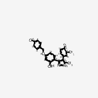 Oc1cc(OCc2ccc(Cl)cc2)ccc1-c1n[nH]c(C(F)(F)F)c1-c1ccc(Cl)c(C(F)(F)F)c1